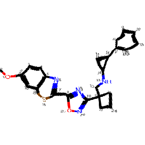 COc1ccc2nc(-c3nc(C4(CNC5CC5c5ccccc5)CCC4)no3)sc2c1